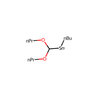 CCC[CH2][Sn][CH](OCCC)OCCC